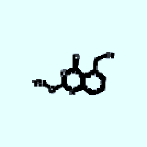 CCCCOc1nc2cccc(CC(C)C)c2c(=O)o1